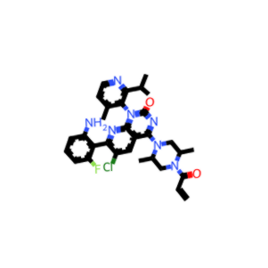 C=CC(=O)N1CC(C)N(c2nc(=O)n(-c3c(C)ccnc3C(C)C)c3nc(-c4c(N)cccc4F)c(Cl)cc23)CC1C